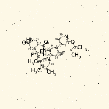 CCC(C)Oc1cc(-c2cc(NC(=O)c3c[nH]c(=O)cc3C(F)(F)F)c(N3CC(C)N(C)C(C)C3)cc2F)ccn1